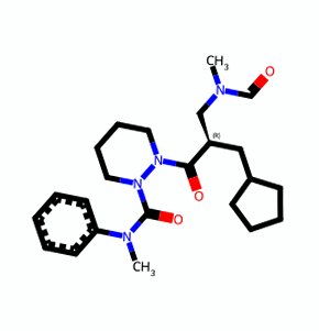 CN(C=O)C[C@@H](CC1CCCC1)C(=O)N1CCCCN1C(=O)N(C)c1ccccc1